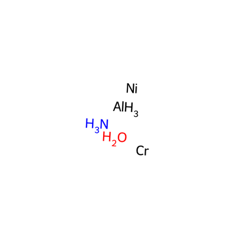 N.O.[AlH3].[Cr].[Ni]